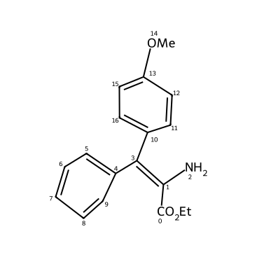 CCOC(=O)/C(N)=C(\c1ccccc1)c1ccc(OC)cc1